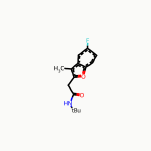 Cc1c(CC(=O)NC(C)(C)C)oc2ccc(F)cc12